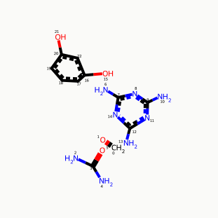 C=O.NC(N)=O.Nc1nc(N)nc(N)n1.Oc1cccc(O)c1